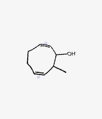 CC1/C=C\CC/C=C\C1O